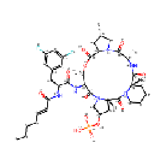 CCCC/C=C/C(=O)N[C@@H](Cc1cc(F)cc(F)c1)C(=O)N[C@@H]1C(=O)N2C[C@H](OP(=O)(O)O)C[C@H]2C(=O)N2CCCC[C@H]2C(=O)N[C@@H](C)C(=O)N2C[C@@H](C)CC2C(=O)O[C@H]1C